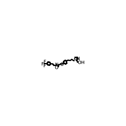 OCc1nccn1CCCCc1ccc(OCc2coc(C=Cc3ccc(C(F)(F)F)cc3)n2)cc1